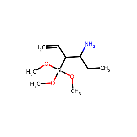 C=CC(C(N)CC)[Si](OC)(OC)OC